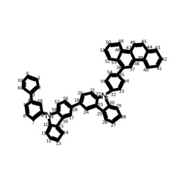 c1ccc(-c2cccc(-n3c4ccccc4c4cc(-c5ccc6c(c5)c5ccccc5n6-c5ccc(-c6cc7c8ccccc8ccc7c7ccccc67)cc5)ccc43)c2)cc1